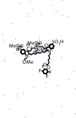 COCCN1/C(=C/C=C/C=C/C=C/C2=[N+](CCCCCC(=O)Oc3c(F)c(F)cc(F)c3F)c3ccc(S(=O)(=O)O)cc3C2(C)CCCS(=O)(=O)OC)C(C)(CCCS(=O)OC)c2cc(S(=O)(=O)OC)ccc21